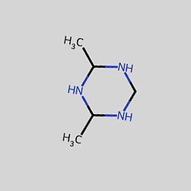 CC1NCNC(C)N1